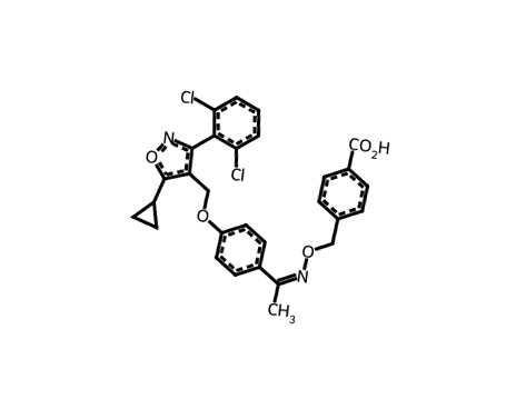 CC(=NOCc1ccc(C(=O)O)cc1)c1ccc(OCc2c(-c3c(Cl)cccc3Cl)noc2C2CC2)cc1